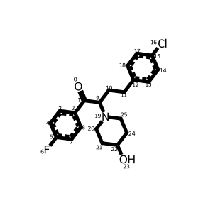 O=C(c1ccc(F)cc1)C(CCc1ccc(Cl)cc1)N1CCC(O)CC1